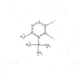 Cc1ccc(I)c(I)c1C(C)(C)C